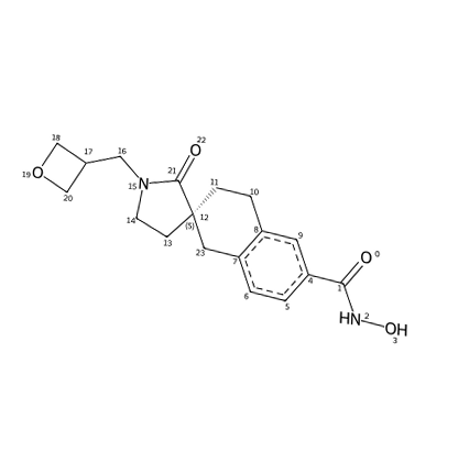 O=C(NO)c1ccc2c(c1)CC[C@@]1(CCN(CC3COC3)C1=O)C2